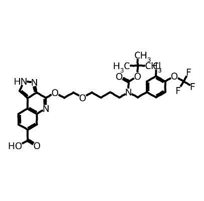 CC(C)(C)OC(=O)N(CCCCOCCOc1nc2cc(C(=O)O)ccc2c2c[nH]nc12)Cc1ccc(OC(F)(F)F)c(Cl)c1